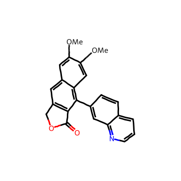 COc1cc2cc3c(c(-c4ccc5cccnc5c4)c2cc1OC)C(=O)OC3